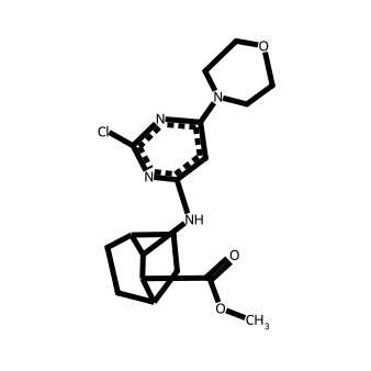 COC(=O)C1C2CCC(CC2)C1Nc1cc(N2CCOCC2)nc(Cl)n1